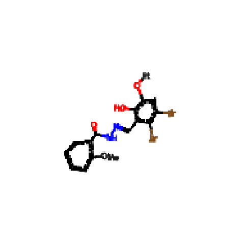 CCOc1cc(Br)c(Br)c(/C=N/NC(=O)c2ccccc2OC)c1O